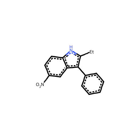 CCc1[nH]c2ccc([N+](=O)[O-])cc2c1-c1ccccc1